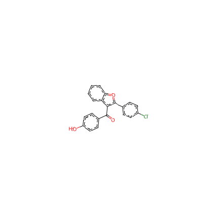 O=C(c1ccc(O)cc1)c1c(-c2ccc(Cl)cc2)oc2ccccc12